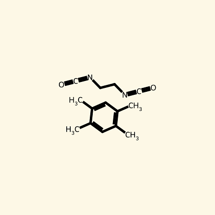 Cc1cc(C)c(C)cc1C.O=C=NCCN=C=O